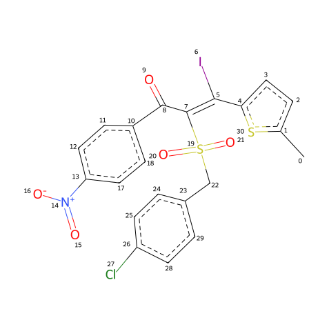 Cc1ccc(C(I)=C(C(=O)c2ccc([N+](=O)[O-])cc2)S(=O)(=O)Cc2ccc(Cl)cc2)s1